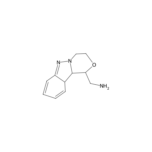 NCC1OCCN2N=C3C=CC=CC3C12